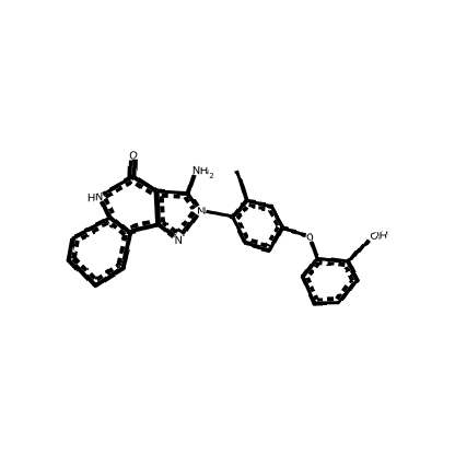 Cc1cc(Oc2ccccc2O)ccc1-n1nc2c(c1N)c(=O)[nH]c1ccccc12